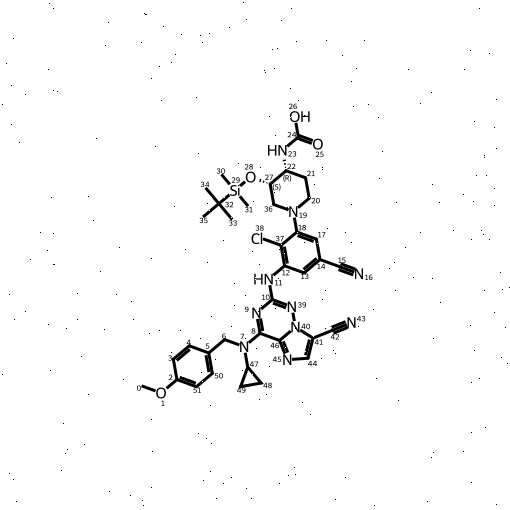 COc1ccc(CN(c2nc(Nc3cc(C#N)cc(N4CC[C@@H](NC(=O)O)[C@@H](O[Si](C)(C)C(C)(C)C)C4)c3Cl)nn3c(C#N)cnc23)C2CC2)cc1